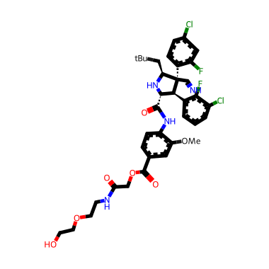 COc1cc(C(=O)OCC(=O)NCCOCCO)ccc1NC(=O)[C@@H]1N[C@@H](CC(C)(C)C)[C@](C=N)(c2ccc(Cl)cc2F)[C@H]1c1cccc(Cl)c1F